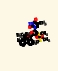 COC(O[C@H]1C[C@H](n2cc(C)c(=O)[nH]c2=O)O[C@@H]1CO[Si](c1ccccc1)(c1ccccc1)C(C)(C)C)(SC)SC